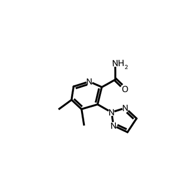 Cc1cnc(C(N)=O)c(-n2nccn2)c1C